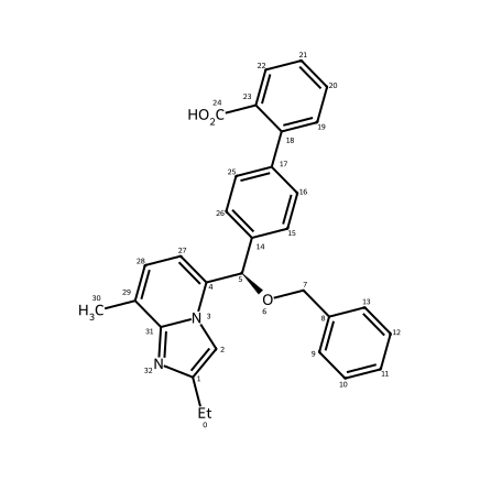 CCc1cn2c([C@H](OCc3ccccc3)c3ccc(-c4ccccc4C(=O)O)cc3)ccc(C)c2n1